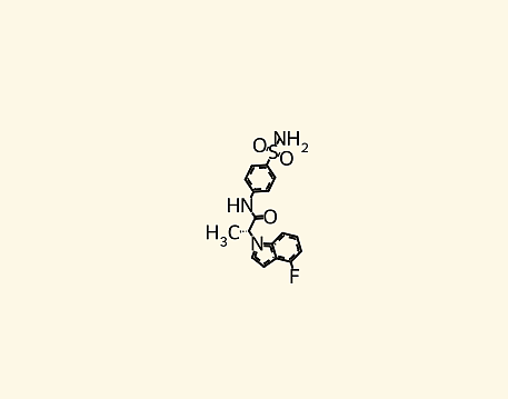 C[C@H](C(=O)Nc1ccc(S(N)(=O)=O)cc1)n1ccc2c(F)cccc21